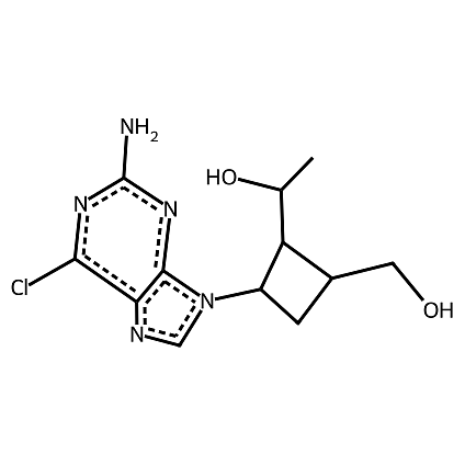 CC(O)C1C(CO)CC1n1cnc2c(Cl)nc(N)nc21